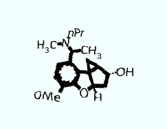 CCCN(C)C(C)c1ccc(OC)c2c1C13CC1[C@H](O)C[C@@H]3O2